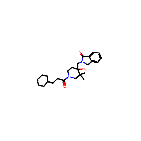 CC1(C)CN(C(=O)CCC2CCCCC2)CCC1(O)CN1Cc2ccccc2C1=O